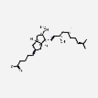 CC(C)=CCC[C@@H](C)C[C@H](O)/C=C/[C@@H]1[C@H]2C/C(=C/CCCC(=O)[O-])C[C@H]2C[C@H]1O.[Na+]